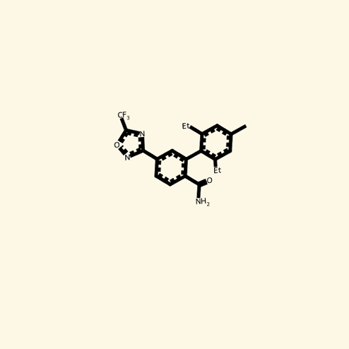 CCc1cc(C)cc(CC)c1-c1cc(-c2noc(C(F)(F)F)n2)ccc1C(N)=O